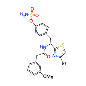 CCc1csc(C(Cc2ccc(OS(N)(=O)=O)cc2)NC(=O)Cc2cccc(OC)c2)n1